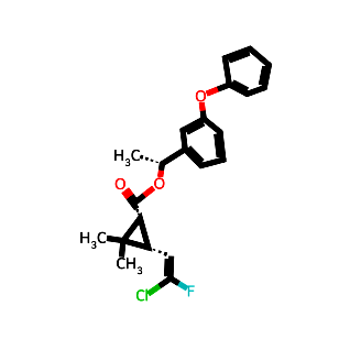 C[C@@H](OC(=O)[C@@H]1[C@H](/C=C(/F)Cl)C1(C)C)c1cccc(Oc2ccccc2)c1